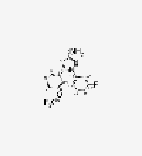 Nc1cc(-c2cccc(OC(F)(F)F)c2)n(-c2cccc(F)c2)n1